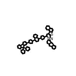 c1ccc(C2(c3ccccc3)c3ccccc3-c3ccc(-c4ccc(-c5ccc(-c6ccc(-c7cc8c(sc9ccc%10ccccc%10c98)c8nc9c%10cc%11ccccc%11cc%10ccc9n78)cc6)c6ccccc56)cc4)cc32)cc1